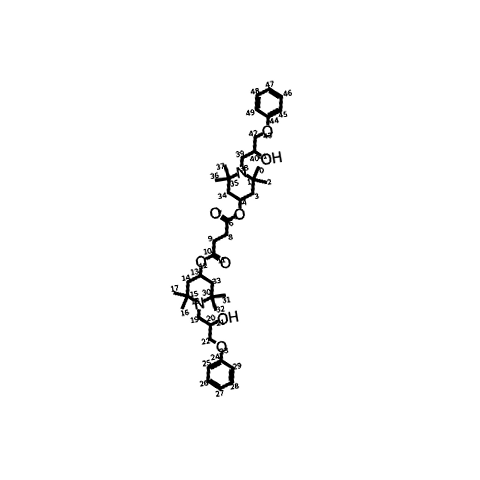 CC1(C)CC(OC(=O)CCC(=O)OC2CC(C)(C)N(CC(O)COc3ccccc3)C(C)(C)C2)CC(C)(C)N1CC(O)COc1ccccc1